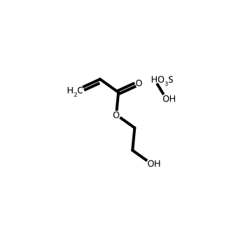 C=CC(=O)OCCO.O=S(=O)(O)O